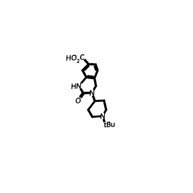 CC(C)(C)N1CCC(N2Cc3ccc(C(=O)O)cc3NC2=O)CC1